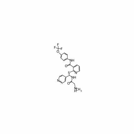 CNCC(=O)NC(Sc1ncccc1C(=O)Nc1ccc(OC(F)(F)F)cc1)c1ccncc1